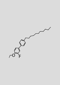 CCCCCCCCCCCc1ccc(-c2ccc(OCC)c(F)c2)cc1